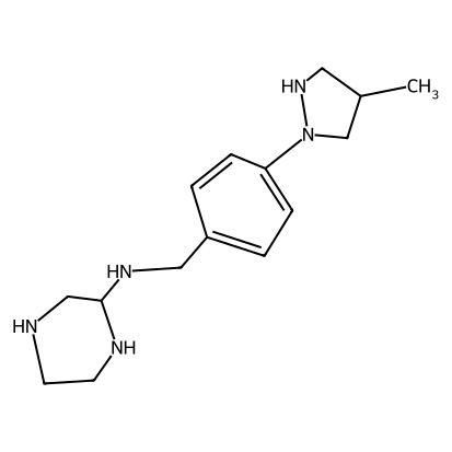 CC1CNN(c2ccc(CNC3CNCCN3)cc2)C1